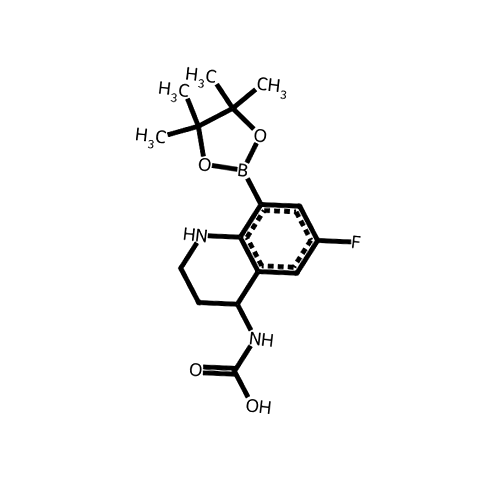 CC1(C)OB(c2cc(F)cc3c2NCCC3NC(=O)O)OC1(C)C